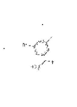 Cc1cccc(Br)c1.O=C(O)CF